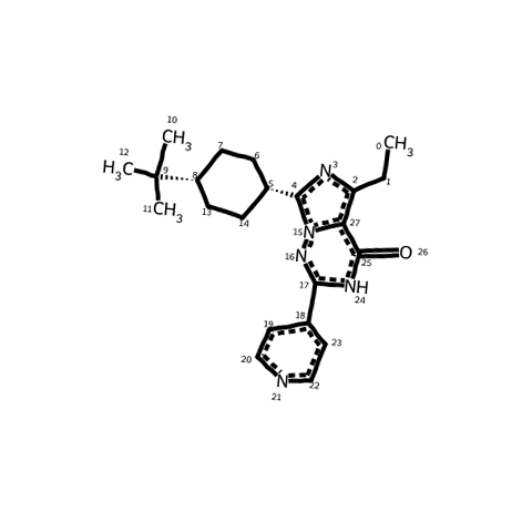 CCc1nc([C@H]2CC[C@@H](C(C)(C)C)CC2)n2nc(-c3ccncc3)[nH]c(=O)c12